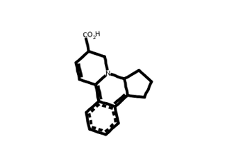 O=C(O)C1C=CC2=c3ccccc3=C3CCCC3N2C1